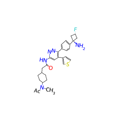 CC(=O)N(C)C1CCC(CC(=O)Nc2cc(-c3ccsc3)c(-c3ccc([C@]4(N)C[C@H](F)C4)cc3)nn2)CC1